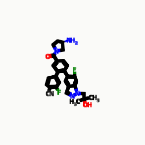 CC(C)(O)Cn1ncc2cc(-c3ccc(C(=O)N4CC[C@H](N)C4)cc3-c3ccc(C#N)c(F)c3)c(F)cc21